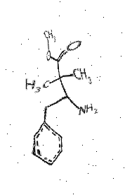 COC(=O)C(C)(C)C(N)Cc1ccccc1